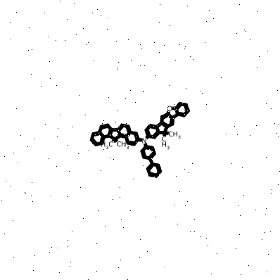 CC1(C)c2cc(N(c3ccc(-c4ccccc4)cc3)c3ccc4c5c(ccc4c3)-c3ccc4ccccc4c3C5(C)C)ccc2-c2cc3oc4ccccc4c3cc21